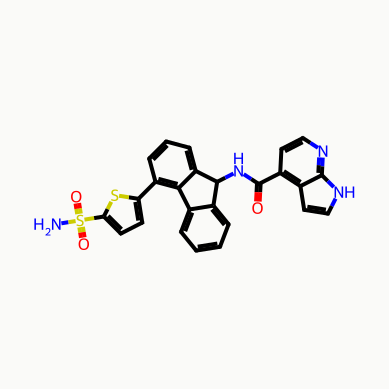 NS(=O)(=O)c1ccc(-c2cccc3c2-c2ccccc2C3NC(=O)c2ccnc3[nH]ccc23)s1